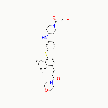 O=C(C=Cc1ccc(Sc2cccc(NC3CCN(C(=O)CCO)CC3)c2)c(C(F)(F)F)c1C(F)(F)F)N1CCOCC1